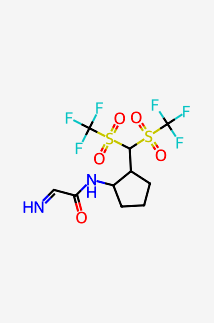 N=CC(=O)NC1CCCC1C(S(=O)(=O)C(F)(F)F)S(=O)(=O)C(F)(F)F